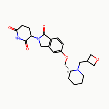 O=C1CCC(N2Cc3cc(OC[C@H]4CCCCN4CC4COC4)ccc3C2=O)C(=O)N1